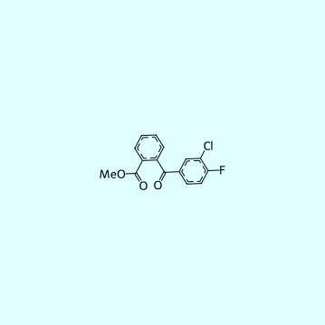 COC(=O)c1ccccc1C(=O)c1ccc(F)c(Cl)c1